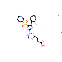 CNC(OC(=O)/C=C/C(=O)O)c1nc(-c2ccccc2F)c(S(=O)(=O)c2cccnc2)s1